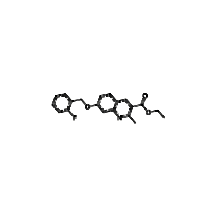 CCOC(=O)c1cc2ccc(OCc3ccccc3F)cc2nc1C